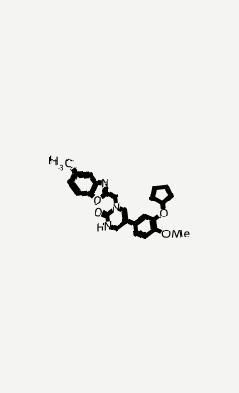 COc1ccc(C2=CN(Cc3nc4cc(C)ccc4o3)C(=O)NC2)cc1OC1CCCC1